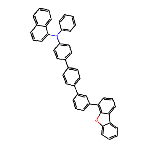 c1ccc(N(c2ccc(-c3ccc(-c4cccc(-c5cccc6c5oc5ccccc56)c4)cc3)cc2)c2cccc3ccccc23)cc1